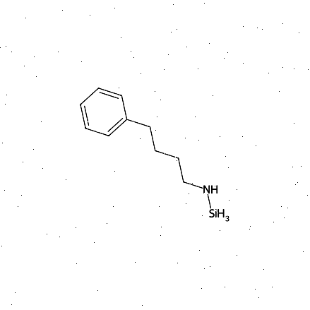 [SiH3]NCCCCc1ccccc1